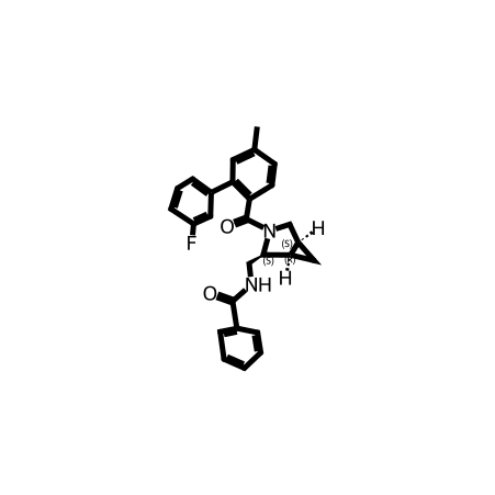 Cc1ccc(C(=O)N2C[C@H]3C[C@H]3[C@H]2CNC(=O)c2ccccc2)c(-c2cccc(F)c2)c1